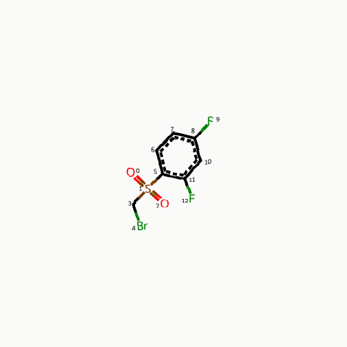 O=S(=O)(CBr)c1ccc(F)cc1F